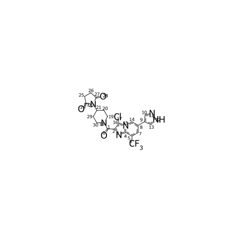 O=C(c1nc2c(C(F)(F)F)cc(-c3cn[nH]c3)cn2c1Cl)N1CCC(N2C(=O)CCC2=O)CC1